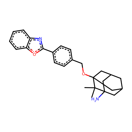 CC1(C)C2(N)CC3CC(C2)CC1(OCc1ccc(-c2nc4ccccc4o2)cc1)C3